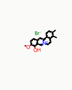 COc1ccc2cc3c4ccc(C)c(C)c4cc[n+]3cc2c1O.[Br-]